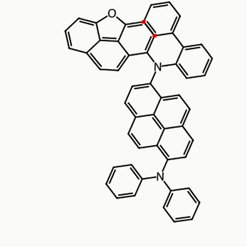 c1ccc(-c2ccccc2N(c2ccc3ccc4c(N(c5ccccc5)c5ccccc5)ccc5ccc2c3c54)c2ccc3oc4cccc5ccc2c3c54)cc1